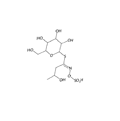 CC(O)C/C(=N\OS(=O)(=O)O)SC1OC(CO)C(O)C(O)C1O